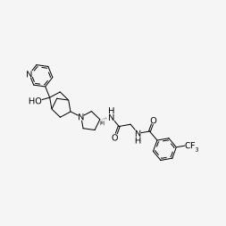 O=C(CNC(=O)c1cccc(C(F)(F)F)c1)N[C@@H]1CCN(C2CC3CC2CC3(O)c2cccnc2)C1